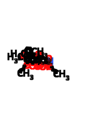 CCCCOc1noc2c1[C@H](O)[C@]1(O)C(=O)c3c(c4c5c(c(OC)cc(OCCCC)c5c3O)[C@@]3(C4)C(C)=CCCC3(C)C)C(=O)[C@@H]1C2